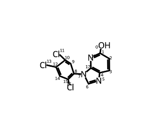 Oc1ccc2ncn(-c3cc(Cl)c(Cl)cc3Cl)c2n1